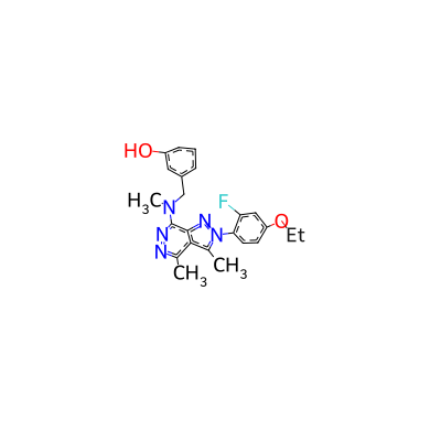 CCOc1ccc(-n2nc3c(N(C)Cc4cccc(O)c4)nnc(C)c3c2C)c(F)c1